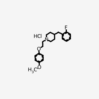 COc1ccc(OCCN2CCC(Cc3ccccc3F)CC2)cc1.Cl